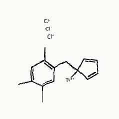 Cc1cc(C)c(C[C]2([Ti+3])C=CC=C2)cc1C.[Cl-].[Cl-].[Cl-]